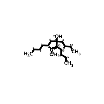 CCCCCCC(O)(CCCC)C(CCCC)=NO